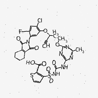 C#CC(C)Oc1cc(N2C(=O)C3=C(CCCC3)C2=O)c(F)cc1Cl.COc1nc(C)nc(NC(=O)NS(=O)(=O)c2ccsc2C(=O)O)n1